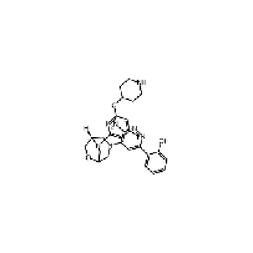 Nc1nnc(-c2ccccc2O)cc1N1CC2CN(c3cc(F)cc(OC4CCNCC4)c3)[C@H](CO2)C1